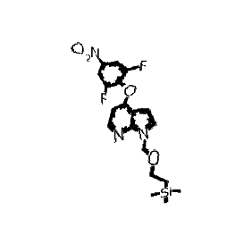 C[Si](C)(C)CCOCn1ccc2c(Oc3c(F)cc([N+](=O)[O-])cc3F)ccnc21